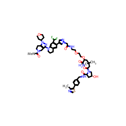 CNC(=O)N1CCc2c(c(N3CCCc4cc(-c5cnn(CC(=O)NCCOCCOC(CC(C)(C)CC(=O)N6C[C@H](O)CC6C(=O)NCc6ccc(-c7scnc7C)cc6)C(N)=O)c5)c(C(F)F)cc43)nn2C2CCOCC2)C1